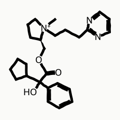 C[N+]1(CCCc2ncccn2)CCC[C@@H]1COC(=O)C(O)(c1ccccc1)C1CCCC1